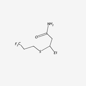 CCC(CC(N)=O)SCCC(F)(F)F